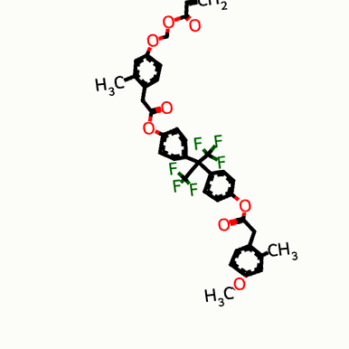 C=CC(=O)OCOc1ccc(CC(=O)Oc2ccc(C(c3ccc(OC(=O)Cc4ccc(OC)cc4C)cc3)(C(F)(F)F)C(F)(F)F)cc2)c(C)c1